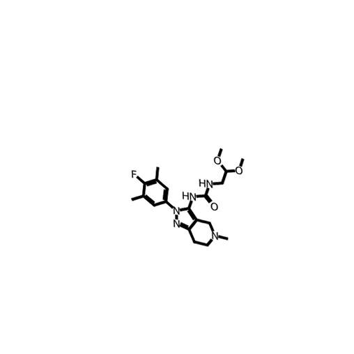 COC(CNC(=O)Nc1c2c(nn1-c1cc(C)c(F)c(C)c1)CCN(C)C2)OC